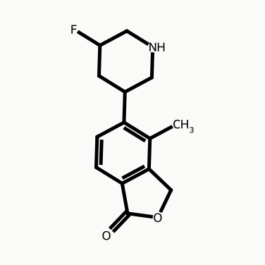 Cc1c(C2CNCC(F)C2)ccc2c1COC2=O